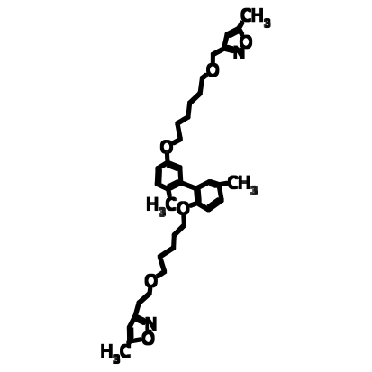 Cc1ccc(OCCCCCOCCc2cc(C)on2)c(-c2cc(OCCCCCCOCc3cc(C)on3)ccc2C)c1